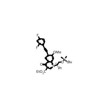 CCOC(=O)c1cn([C@H](CO[Si](C)(C)C(C)(C)C)C(C)C)c2cc(OC)c(C#Cc3ccc(F)cc3F)cc2c1=O